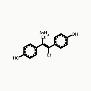 CC/C(=C(/CC)c1ccc(O)cc1)c1ccc(O)cc1.[AsH3]